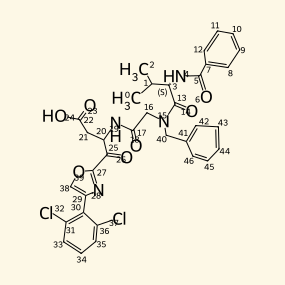 CC(C)[C@H](NC(=O)c1ccccc1)C(=O)N(CC(=O)NC(CC(=O)O)C(=O)c1nc(-c2c(Cl)cccc2Cl)co1)Cc1ccccc1